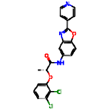 C[C@@H](Oc1cccc(Cl)c1Cl)C(=O)Nc1ccc2oc(-c3ccncc3)nc2c1